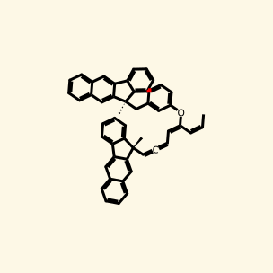 C/C=C\C(=C/C=C=C[C@@]1(C)c2ccccc2-c2cc3ccccc3cc21)Oc1cccc(C[C@]2(C)c3ccccc3-c3cc4ccccc4cc32)c1